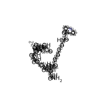 CCCC1O[C@@H]2C[C@H]3[C@@H]4CCC5=CC(=O)C=C[C@]5(C)[C@H]4[C@@H](O)C[C@]3(C)[C@]2(C(=O)COCNC(=O)[C@H](C)NC(=O)OCc2ccc(NC(=O)[C@H](CCCNC(N)=O)NC(=O)[C@@H](NC(=O)CCOCCOCCOCCOCCNC(=O)CCC(=O)N3Cc4ccccc4/C=C\c4ccccc43)C(C)C)cc2)O1